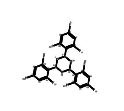 Fc1cc(F)c(B2OB(c3c(F)cc(F)cc3F)OB(c3c(F)cc(F)cc3F)O2)c(F)c1